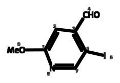 COc1cc(C=O)c(I)cn1